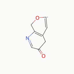 O=C1C=NC2=C(C=[C]OC2)C1